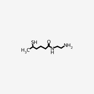 CC(S)CCCC(=O)NCCN